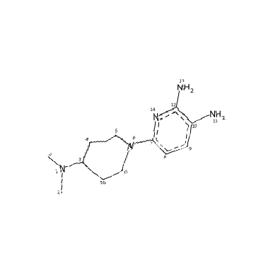 CN(C)C1CCN(c2ccc(N)c(N)n2)CC1